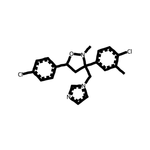 Cc1cc(C2(Cn3ccnc3)CC(c3ccc(Cl)cc3)ON2C)ccc1Cl